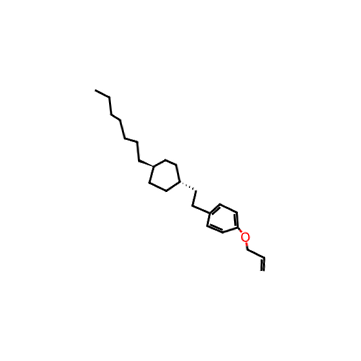 C=CCOc1ccc(CC[C@H]2CC[C@H](CCCCCCC)CC2)cc1